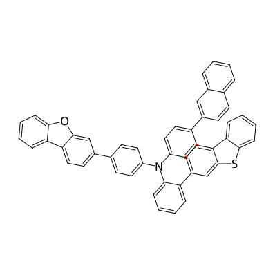 c1ccc(N(c2ccc(-c3ccc4ccccc4c3)cc2)c2ccc(-c3ccc4c(c3)oc3ccccc34)cc2)c(-c2ccc3c(c2)sc2ccccc23)c1